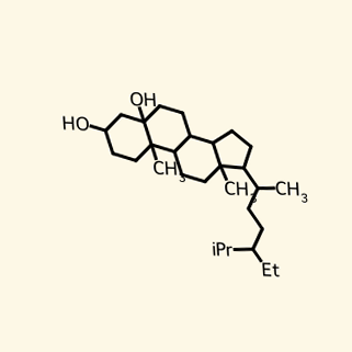 CCC(CCC(C)C1CCC2C3CCC4(O)CC(O)CCC4(C)C3CCC12C)C(C)C